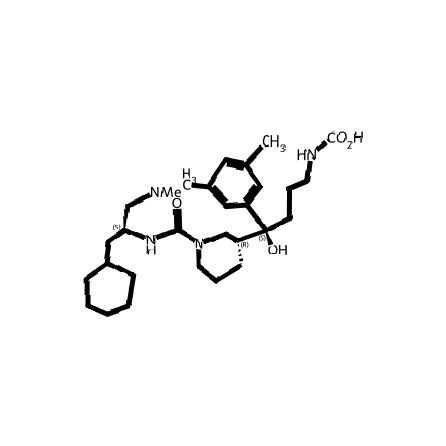 CNC[C@H](CC1CCCCC1)NC(=O)N1CCC[C@@H]([C@@](O)(CCCNC(=O)O)c2cc(C)cc(C)c2)C1